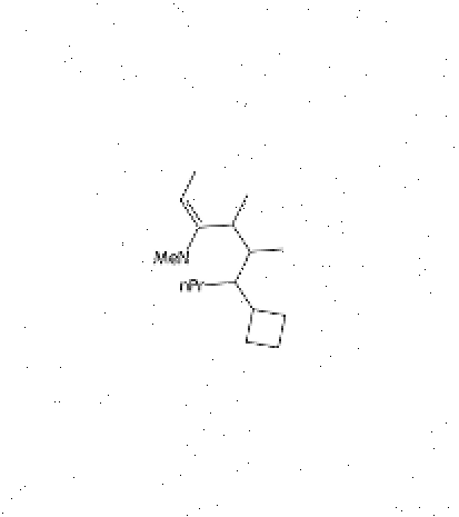 C/C=C(/NC)C(C)C(C)C(CCC)C1CCC1